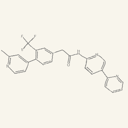 Cc1cc(-c2ccc(CC(=O)Nc3ccc(-c4ccccn4)cn3)cc2C(F)(F)F)ccn1